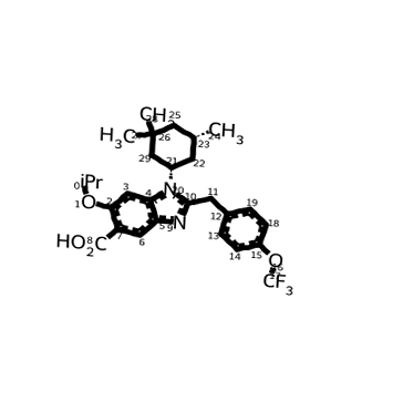 CC(C)Oc1cc2c(cc1C(=O)O)nc(Cc1ccc(OC(F)(F)F)cc1)n2[C@H]1C[C@@H](C)CC(C)(C)C1